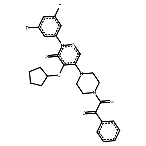 O=C(C(=O)N1CCN(c2cnn(-c3cc(F)cc(F)c3)c(=O)c2OC2CCCC2)CC1)c1ccccc1